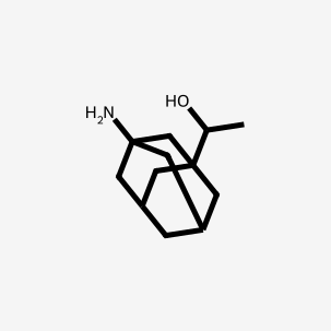 CC(O)C12CC3CC(CC(N)(C3)C1)C2